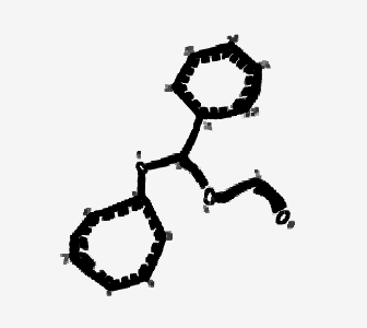 O=COC(Oc1ccccc1)c1ccccc1